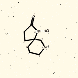 Cl.O=C1CCC2(CCCNC2)N1